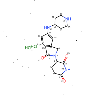 Cl.Cl.O=C1CCC(N2Cc3cc(NC4CCNCC4)ccc3C2=O)C(=O)N1